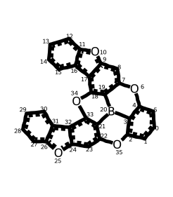 c1cc2c3c(c1)Oc1cc4oc5ccccc5c4c4c1B3c1c(cc3oc5ccccc5c3c1O4)O2